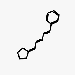 C(=CC=C1CCCC1)C=Cc1ccccc1